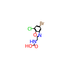 O=C(O)NCc1nc2cc(Br)cc(Cl)c2o1